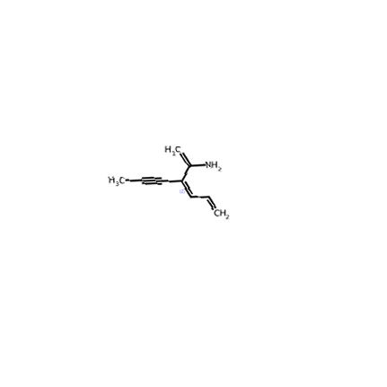 C=C/C=C(/C#CC)C(=C)N